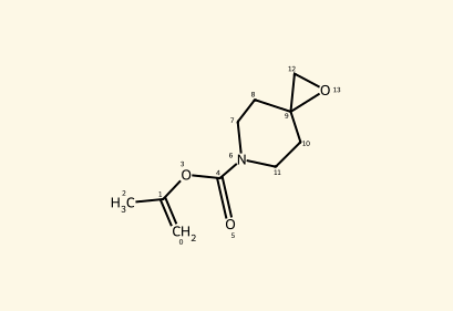 C=C(C)OC(=O)N1CCC2(CC1)CO2